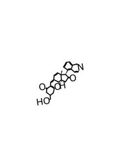 C[C@]12C=CC3=CC4=C(CC(CO)CC4=O)OC3[C@@H]1CC(=O)[C@@H]2c1cccc2cnccc12